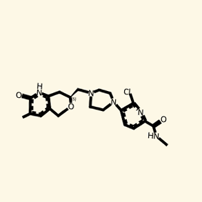 CNC(=O)c1ccc(N2CCN(C[C@@H]3Cc4[nH]c(=O)c(C)cc4CO3)CC2)c(Cl)n1